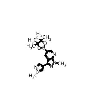 Cn1cc(-c2nn(C)c3ncc(B4OC(C)(C)C(C)(C)O4)cc23)cn1